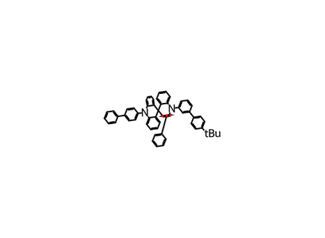 CC(C)(C)c1ccc(-c2cccc(N3c4ccccc4C4(c5ccccc5N(c5ccc(-c6ccccc6)cc5)c5ccccc54)c4cc(-c5ccccc5)ccc43)c2)cc1